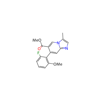 COC(=O)c1cn2c(C)cnc2cc1-c1c(F)cccc1OC